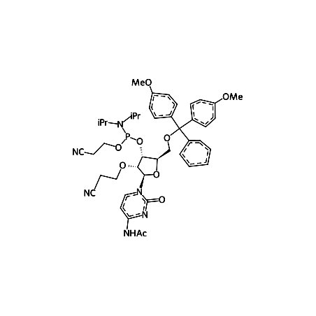 COc1ccc(C(OC[C@H]2O[C@@H](n3ccc(NC(C)=O)nc3=O)[C@H](OCCC#N)[C@@H]2OP(OCCC#N)N(C(C)C)C(C)C)(c2ccccc2)c2ccc(OC)cc2)cc1